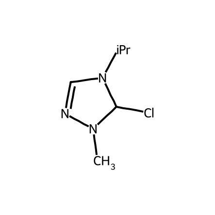 CC(C)N1C=NN(C)C1Cl